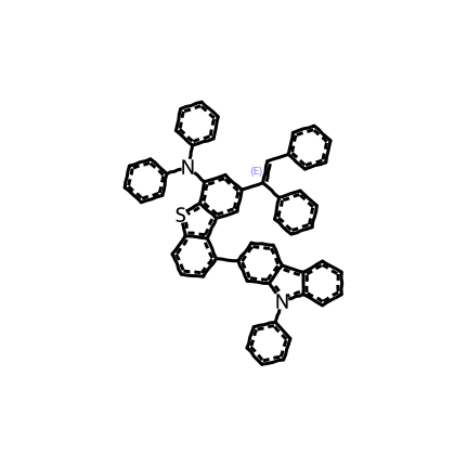 C(=C(/c1ccccc1)c1cc(N(c2ccccc2)c2ccccc2)c2sc3cccc(-c4ccc5c6ccccc6n(-c6ccccc6)c5c4)c3c2c1)/c1ccccc1